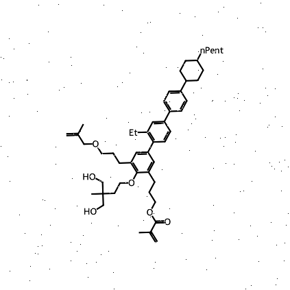 C=C(C)COCCCc1cc(-c2ccc(-c3ccc(C4CCC(CCCCC)CC4)cc3)cc2CC)cc(CCCOC(=O)C(=C)C)c1OCCC(C)(CO)CO